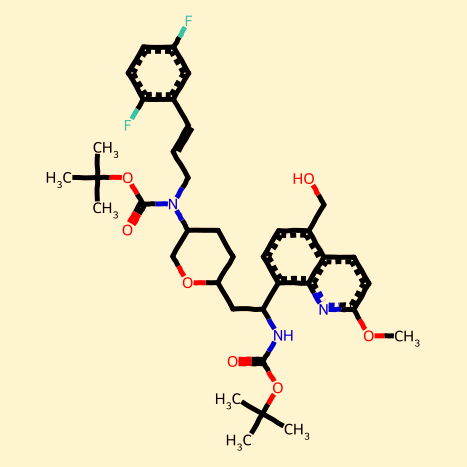 COc1ccc2c(CO)ccc(C(CC3CCC(N(CC=Cc4cc(F)ccc4F)C(=O)OC(C)(C)C)CO3)NC(=O)OC(C)(C)C)c2n1